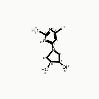 Cc1nc(I)cc(N2C[C@@H](O)[C@@H](O)C2)n1